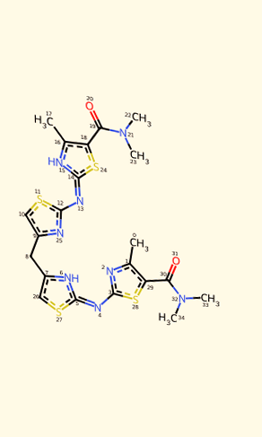 Cc1nc(/N=c2\[nH]c(Cc3csc(/N=c4\[nH]c(C)c(C(=O)N(C)C)s4)n3)cs2)sc1C(=O)N(C)C